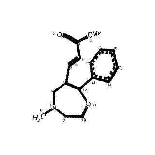 COC(=O)/C=C/C1CN(C)CCOC1c1ccccc1